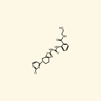 O=C(Nc1nc2c(s1)CN(c1ccnc(Cl)n1)CC2)Nc1ccccc1C(=O)NCCO